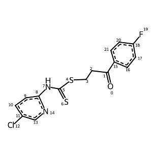 O=C(CCSC(=S)Nc1ccc(Cl)cn1)c1ccc(F)cc1